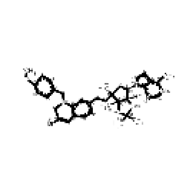 COc1ccc(CN2CC(Br)=Cc3ccc(CCC4(C)C[C@@H](n5ccc6c(N)ncnc65)[C@@H]5OC(C)(C)O[C@@]54C)cc32)cc1